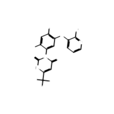 O=c1cc(C(F)(F)F)[nH]c(=O)n1-c1cc(Sc2cccnc2O)c(Cl)cc1F